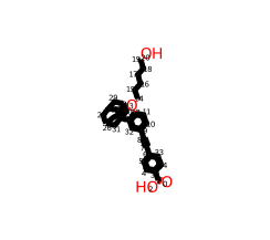 O=C(O)c1ccc(C#Cc2ccc(OCCCCCCO)c(C34CC5CC(CC(C5)C3)C4)c2)cc1